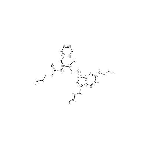 C=CCCCC(=O)N[C@@H](Cc1ccccc1)[C@@H](O)CN[C@H]1C[C@@H](OCC=C)c2ccc(OCCC)cc21